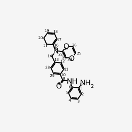 Nc1ccccc1NC(=O)c1ccc(CN(C2=CC=CCC2)C2=COC=CO2)cc1